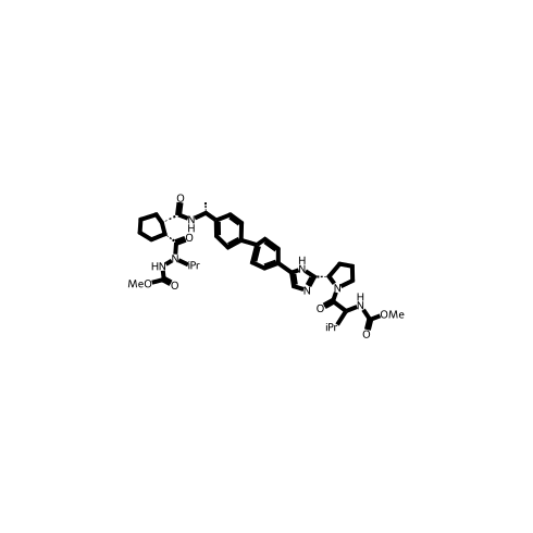 COC(=O)NC(C(=O)N1CCC[C@H]1c1ncc(-c2ccc(-c3ccc([C@@H](C)NC(=O)[C@H]4CCCC[C@H]4C(=O)N(NC(=O)OC)C(C)C)cc3)cc2)[nH]1)C(C)C